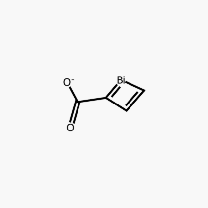 O=C([O-])[C]1=[Bi][CH]=C1